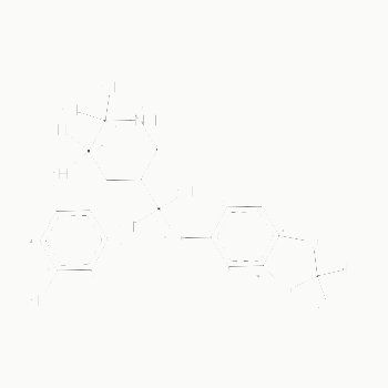 [2H]C1([2H])Oc2ccc(OC([2H])([2H])C3CNC([2H])([2H])C([2H])([2H])[C@H]3c3ccc(F)cc3)cc2O1